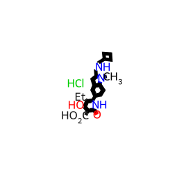 CCc1c(-c2ccc3c(c2)cc(CNCC2CCC2)n3C)[nH]c(=O)c(C(=O)O)c1O.Cl